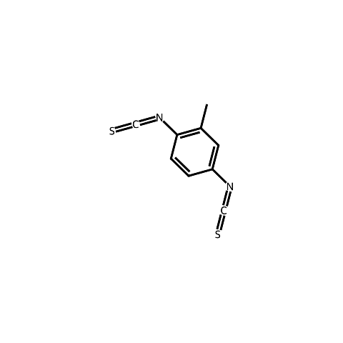 Cc1cc(N=C=S)ccc1N=C=S